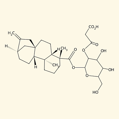 C=C1C[C@@]23CC[C@H]4[C@@](C)(CCC[C@@]4(C)C(=O)OC4OC(CO)C(O)C(O)C4OC(=O)CC(=O)O)[C@@H]2CC[C@@H]1C3